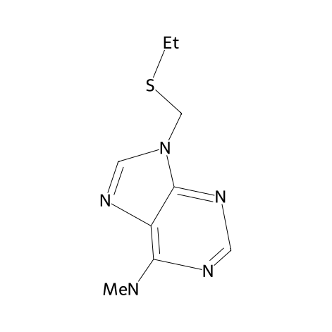 CCSCn1cnc2c(NC)ncnc21